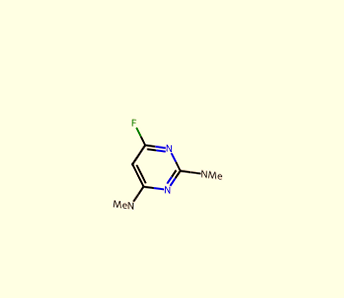 CNc1cc(F)nc(NC)n1